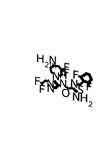 Nc1sc(-c2c(F)cccc2F)nc1C(=O)Nc1cnn(CC(F)F)c1N1CC[C@H](N)CC(F)(F)C1